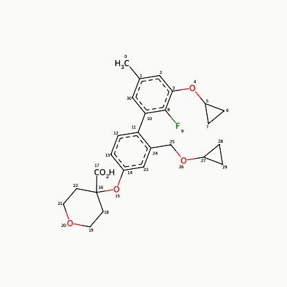 Cc1cc(OC2CC2)c(F)c(-c2ccc(OC3(C(=O)O)CCOCC3)cc2COC2CC2)c1